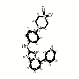 O=S1(=O)CCN(c2ccc(Nc3nc4cccc(-c5cccnc5)n4n3)cc2)CC1